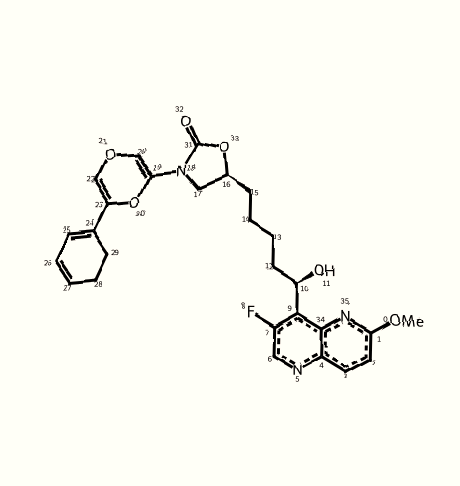 COc1ccc2ncc(F)c([C@H](O)CCCC[C@H]3CN(C4=COC=C(C5=CC=CCC5)O4)C(=O)O3)c2n1